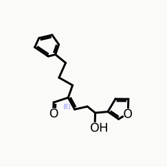 O=C/C(=C/CC(O)c1ccoc1)CCCc1ccccc1